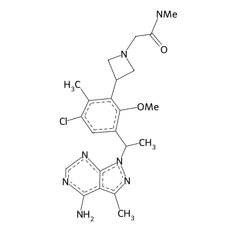 CNC(=O)CN1CC(c2c(C)c(Cl)cc(C(C)n3nc(C)c4c(N)ncnc43)c2OC)C1